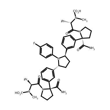 CC(C)[C@@H](C(=O)N1CCC[C@@]1(C(N)=O)c1cccc([C@H]2CC[C@H](c3cccc([C@]4(C(N)=O)CCCN4C(=O)[C@H](C(C)C)N(C)C(=O)O)c3)N2c2ccc(F)cc2)c1)N(C)C(=O)O